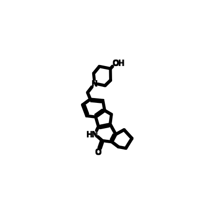 O=c1[nH]c2c(c3c1CCCC3)Cc1cc(CN3CCC(O)CC3)ccc1-2